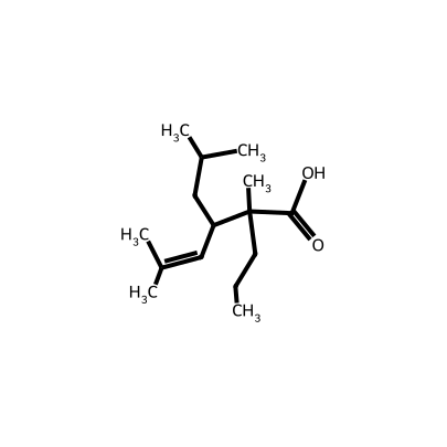 CCCC(C)(C(=O)O)C(C=C(C)C)CC(C)C